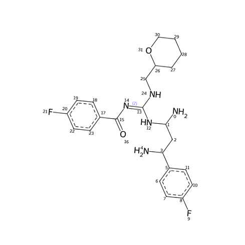 NC(CC(N)c1ccc(F)cc1)N/C(=N\C(=O)c1ccc(F)cc1)NCC1CCCCO1